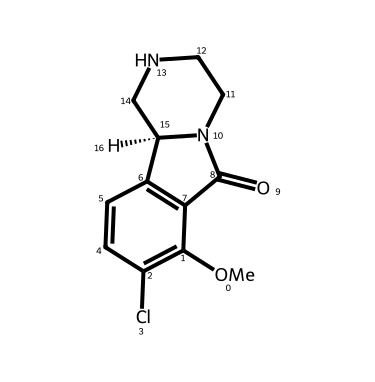 COc1c(Cl)ccc2c1C(=O)N1CCNC[C@H]21